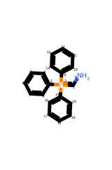 NC=P(c1ccccc1)(c1ccccc1)c1ccccc1